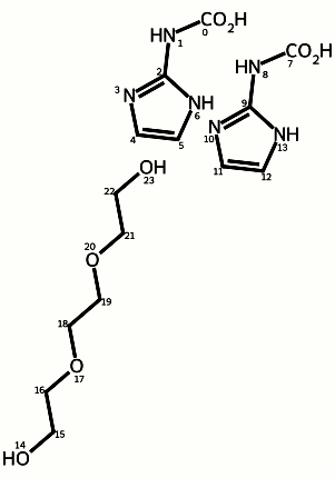 O=C(O)Nc1ncc[nH]1.O=C(O)Nc1ncc[nH]1.OCCOCCOCCO